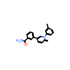 C=C1C=CC(c2cccc(C(N)=O)c2)=CN1c1cccc(C)c1